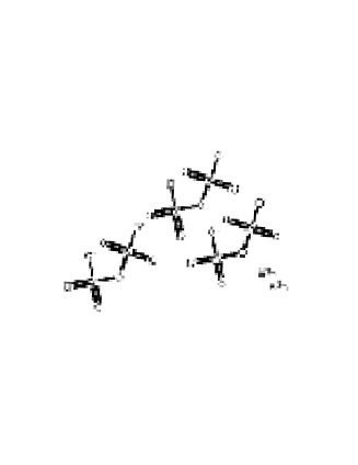 O=S(=O)([O-])OS(=O)(=O)[O-].O=S(=O)([O-])OS(=O)(=O)[O-].O=S(=O)([O-])OS(=O)(=O)[O-].[Bi+3].[Bi+3]